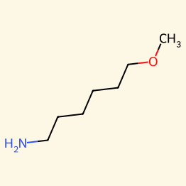 COCCCCCCN